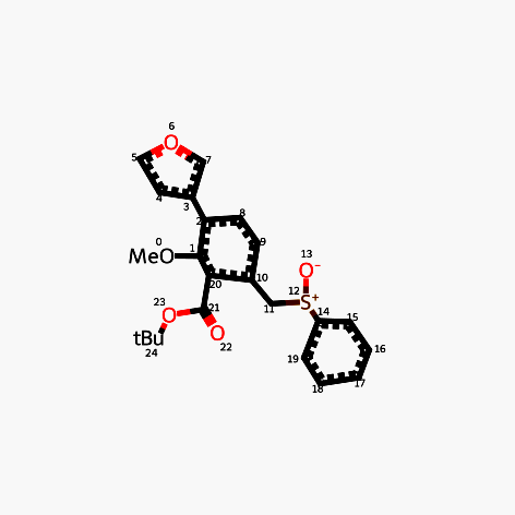 COc1c(-c2ccoc2)ccc(C[S+]([O-])c2ccccc2)c1C(=O)OC(C)(C)C